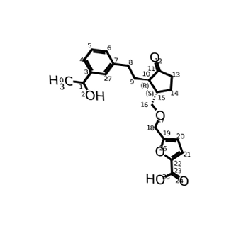 CC(O)c1cccc(CC[C@H]2C(=O)CC[C@@H]2COCc2ccc(C(=O)O)o2)c1